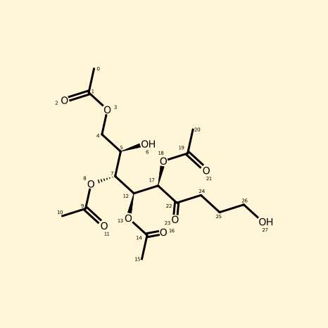 CC(=O)OC[C@@H](O)[C@@H](OC(C)=O)[C@H](OC(C)=O)[C@@H](OC(C)=O)C(=O)CCCO